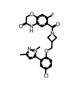 Cc1cc(-c2cc(Cl)ccc2OCC2CN(C(=O)c3cc4c(cc3F)OCC(=O)N4)C2)n(C)n1